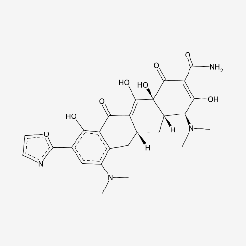 CN(C)c1cc(-c2ncco2)c(O)c2c1C[C@H]1C[C@H]3[C@H](N(C)C)C(O)=C(C(N)=O)C(=O)[C@@]3(O)C(O)=C1C2=O